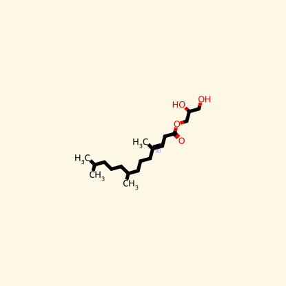 C/C(=C\CC(=O)OCC(O)CO)CCCC(C)CCCC(C)C